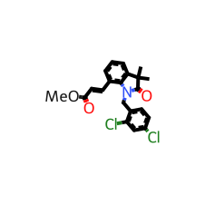 COC(=O)/C=C/c1cccc2c1N(Cc1ccc(Cl)cc1Cl)C(=O)C2(C)C